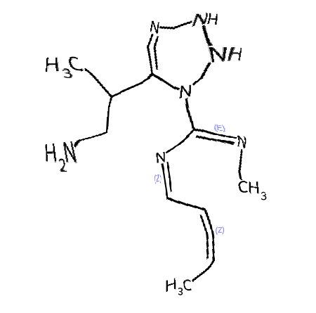 C\C=C/C=N\C(=N/C)N1NNN=C1C(C)CN